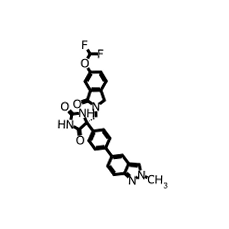 Cn1cc2cc(-c3ccc([C@]4(CN5Cc6ccc(OC(F)F)cc6C5=O)NC(=O)NC4=O)cc3)ccc2n1